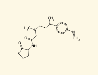 C=Nc1ccc(N(C)CCN(C)CC(=O)NC2CCSC2=O)cc1